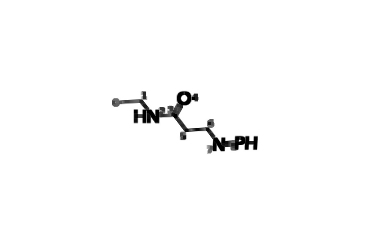 CCNC(=O)CCN=P